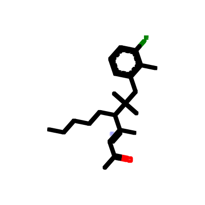 CCCCCC(/C(C)=C/C(C)=O)C(C)(C)Cc1cccc(F)c1C